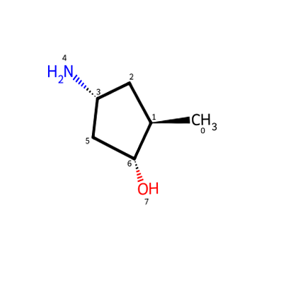 C[C@@H]1C[C@@H](N)C[C@H]1O